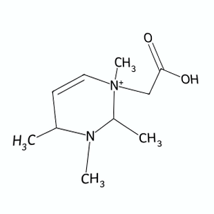 CC1C=C[N+](C)(CC(=O)O)C(C)N1C